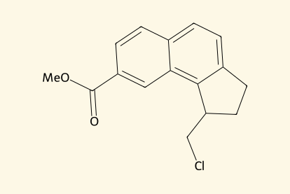 COC(=O)c1ccc2ccc3c(c2c1)C(CCl)CC3